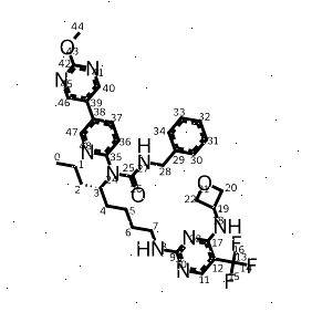 CCC[C@@H](CCCCNc1ncc(C(F)(F)F)c(NC2COC2)n1)N(C(=O)NCc1ccccc1)c1ccc(-c2cnc(OC)nc2)cn1